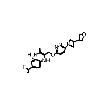 C/C(N)=C(\COc1ccc(N2CC(C3COC3)C2)nn1)Nc1ccc(C(F)F)cc1